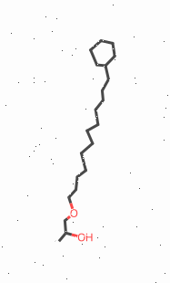 [CH2]C(O)COCCCCCCCCCCCCC1CCCCC1